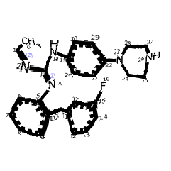 C/C=N\C(=N/c1ccccc1-c1cccc(F)c1)Nc1ccc(N2CCNCC2)cc1